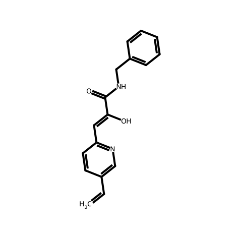 C=Cc1ccc(/C=C(\O)C(=O)NCc2ccccc2)nc1